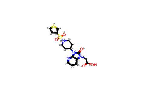 O=C(O)Cn1c(=O)n(C2CCN(S(=O)(=O)c3ccsc3)CC2)c2ncccc21